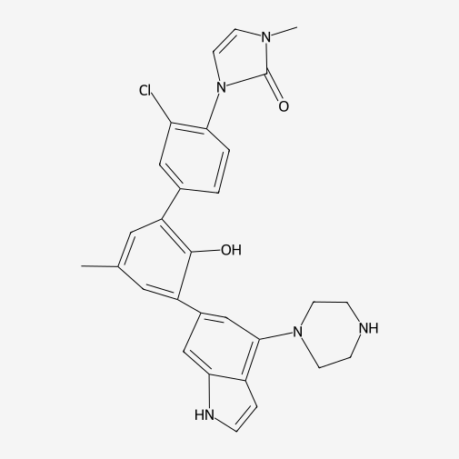 Cc1cc(-c2ccc(-n3ccn(C)c3=O)c(Cl)c2)c(O)c(-c2cc(N3CCNCC3)c3cc[nH]c3c2)c1